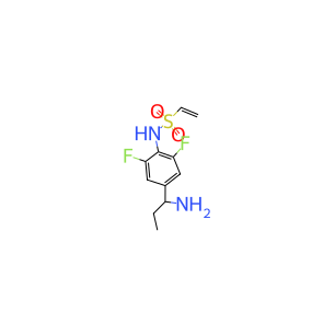 C=CS(=O)(=O)Nc1c(F)cc(C(N)CC)cc1F